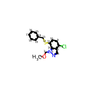 COCn1ncc2c(Cl)ccc(SCc3ccccc3)c21